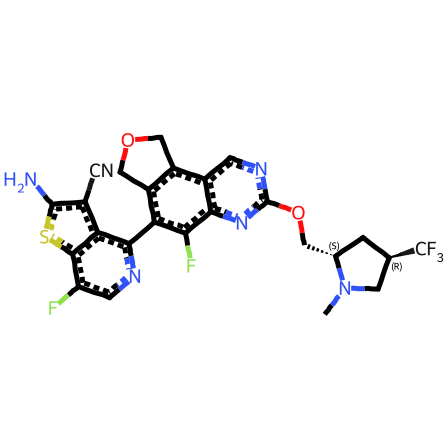 CN1C[C@H](C(F)(F)F)C[C@H]1COc1ncc2c3c(c(-c4ncc(F)c5sc(N)c(C#N)c45)c(F)c2n1)COC3